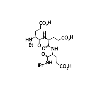 CCNC(CCC(=O)O)C(=O)NC(CCC(=O)O)C(=O)NC(CCC(=O)O)C(=O)NC(C)C